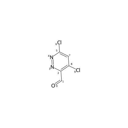 O=Cc1nnc(Cl)cc1Cl